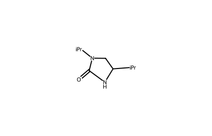 CC(C)C1CN(C(C)C)C(=O)N1